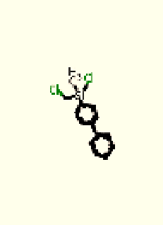 C[Si](CCl)(CCl)c1ccc(-c2ccccc2)cc1